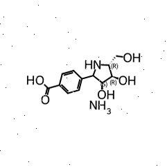 N.O=C(O)c1ccc(C2N[C@H](CO)[C@@H](O)[C@H]2O)cc1